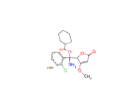 Br.COC1=CC(=O)OC1C(N)(OC(=O)C1CCCCC1)c1ccccc1Cl